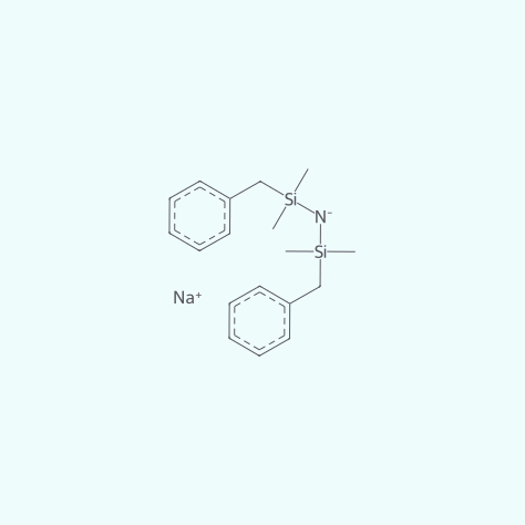 C[Si](C)(Cc1ccccc1)[N-][Si](C)(C)Cc1ccccc1.[Na+]